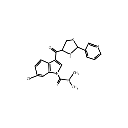 CN(C)C(=O)n1cc(C(=O)C2CSC(c3cccnc3)N2)c2ccc(Cl)cc21